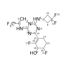 C=C(Nc1nc(NC2CC(F)(F)C2)nc(C2=C(F)C(O)C(F)CC2)n1)C(F)(F)F